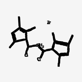 CC1=CC(C)=C(C)C1C(Cl)[SiH2]C(Cl)C1C(C)=CC(C)=C1C.[Zr]